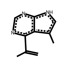 C=C(C)c1ncnc2[nH]cc(C)c12